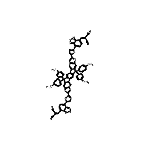 Cc1ccc(C2(c3ccc(C)cc3)c3cc4c(cc3-c3cc5cc(-c6ccc(-c7ccc(C=C(C#N)C#N)c8nsnc78)s6)sc5cc32)C(c2ccc(C)cc2)(c2ccc(C)cc2)c2cc3sc(-c5ccc(-c6ccc(C=C(C#N)C#N)c7nsnc67)s5)cc3cc2-4)cc1